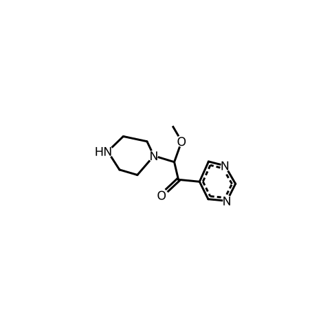 COC(C(=O)c1cncnc1)N1CCNCC1